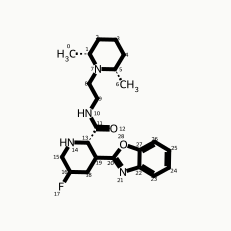 C[C@@H]1CCC[C@H](C)N1CCNC(=O)[C@H]1NCC(F)CC1c1nc2ccccc2o1